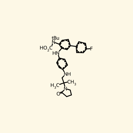 CC(C)(C)N(C(=O)O)c1ccc(-c2ccc(F)cc2)cc1Nc1ccc(NCC(C)(C)N2CCCC2=O)cc1